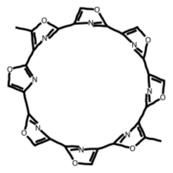 Cc1oc2nc1-c1nc(co1)-c1nc(co1)-c1nc(co1)-c1nc(c(C)o1)-c1nc(co1)-c1nc(co1)-c1nc-2co1